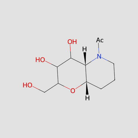 CC(=O)N1CCC[C@@H]2OC(CO)C(O)C(O)[C@@H]21